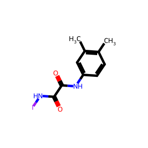 Cc1ccc(NC(=O)C(=O)NI)cc1C